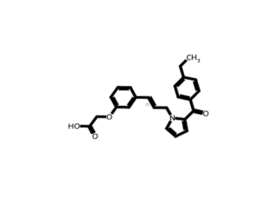 CCc1ccc(C(=O)c2cccn2C/C=C/c2cccc(OCC(=O)O)c2)cc1